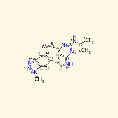 COc1nc(N[C@H](C)C(F)(F)F)nc2[nH]cc(-c3ccc4nnn(C)c4c3)c12